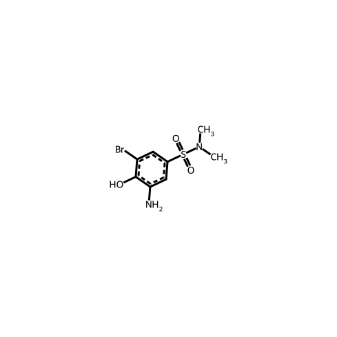 CN(C)S(=O)(=O)c1cc(N)c(O)c(Br)c1